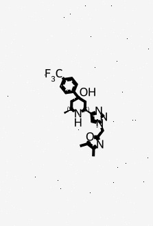 Cc1nc(Cn2cc([C@@H]3CC(O)(c4ccc(C(F)(F)F)cc4)C[C@H](C)N3)nn2)oc1C